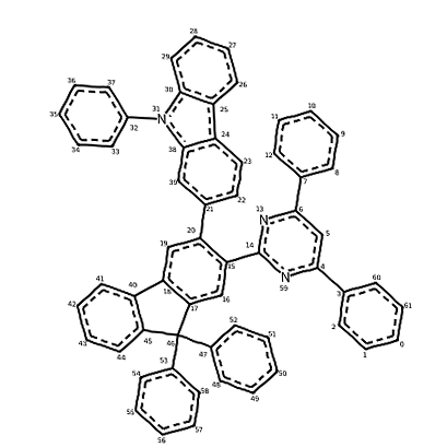 c1ccc(-c2cc(-c3ccccc3)nc(-c3cc4c(cc3-c3ccc5c6ccccc6n(-c6ccccc6)c5c3)-c3ccccc3C4(c3ccccc3)c3ccccc3)n2)cc1